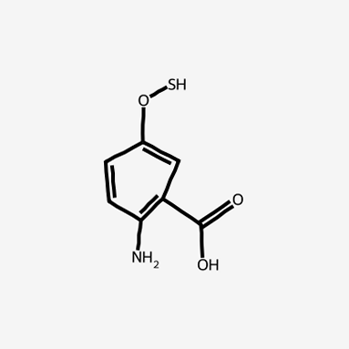 Nc1ccc(OS)cc1C(=O)O